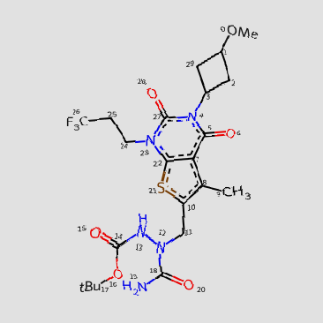 COC1CC(n2c(=O)c3c(C)c(CN(NC(=O)OC(C)(C)C)C(N)=O)sc3n(CCC(F)(F)F)c2=O)C1